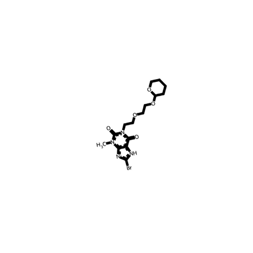 Cn1c(=O)n(CCOCCOC2CCCCO2)c(=O)c2[nH]c(Br)nc21